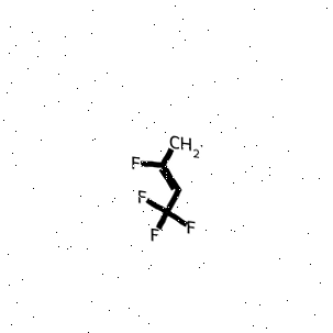 [CH2]/C(F)=C/C(F)(F)F